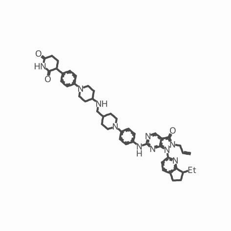 C=CCn1c(=O)c2cnc(Nc3ccc(N4CCC(CNC5CCN(c6ccc(C7CCC(=O)NC7=O)cc6)CC5)CC4)cc3)nc2n1-c1ccc2c(n1)C(CC)CC2